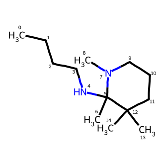 CCCCNC1(C)N(C)CCCC1(C)C